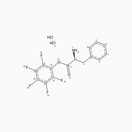 Cl.Cl.N[C@@H](Cc1ccccc1)C(=O)Oc1c(F)c(F)c(F)c(F)c1F